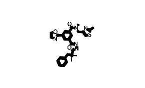 Cc1nc(CN(C)C(=O)c2cc(-c3ncco3)cc(-c3nnc([C@](C)(I)Cc4ccccc4)o3)c2)cs1